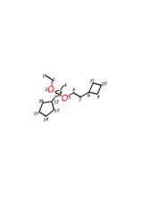 CCO[Si](C)(OCCC1CCC1)C1CCCC1